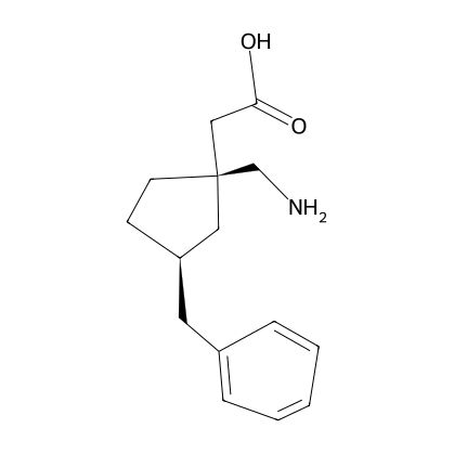 NC[C@]1(CC(=O)O)CC[C@H](Cc2ccccc2)C1